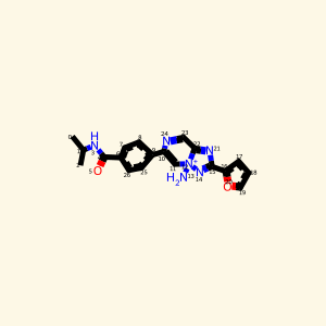 CC(C)NC(=O)c1ccc(C2=C[N+]3(N)N=C(c4ccco4)N=C3C=N2)cc1